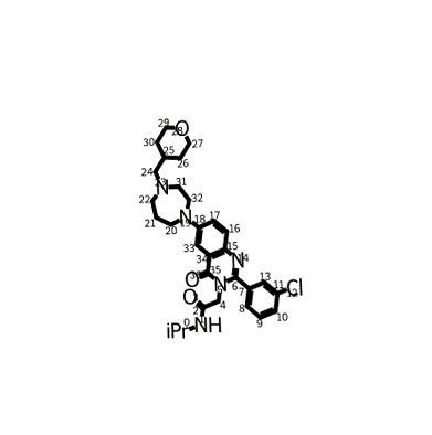 CC(C)NC(=O)Cn1c(-c2cccc(Cl)c2)nc2ccc(N3CCCN(CC4CCOCC4)CC3)cc2c1=O